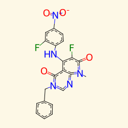 Cn1c(=O)c(F)c(Nc2ccc([N+](=O)[O-])cc2F)c2c(=O)n(Cc3ccccc3)cnc21